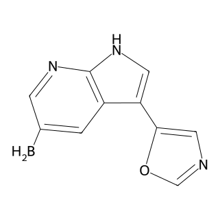 Bc1cnc2[nH]cc(-c3cnco3)c2c1